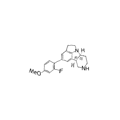 COc1ccc(-c2cc3c4c(c2)[C@@H]2CNCC[C@@H]2N4CC3)c(F)c1